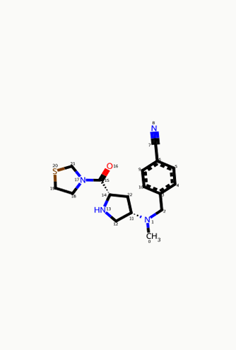 CN(Cc1ccc(C#N)cc1)[C@@H]1CN[C@H](C(=O)N2CCSC2)C1